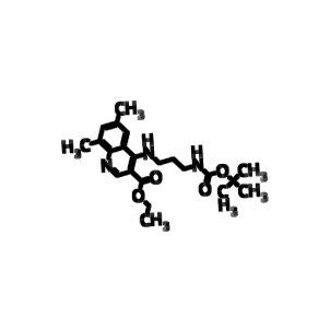 CCOC(=O)c1cnc2c(C)cc(C)cc2c1NCCCNC(=O)OC(C)(C)C